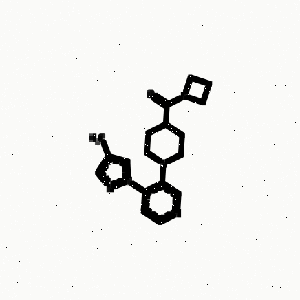 Cc1cnn(-c2ccncc2N2CCC(C(=O)N3CCC3)CC2)c1